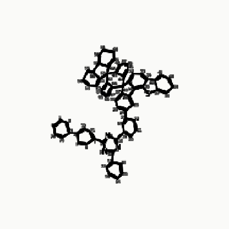 c1ccc(-c2ccc(-c3nc(-c4ccccc4)nc(-c4cccc(-c5ccc6c(c5)-c5c(ccc7c5sc5ccccc57)C65c6ccccc6C6(c7ccccc7-c7ccccc76)c6ccccc65)c4)n3)cc2)cc1